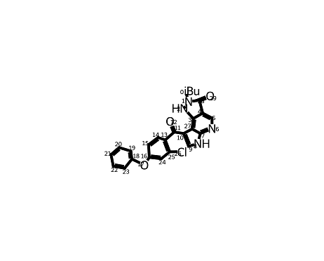 CCC(C)n1[nH]c2c(cnc3[nH]cc(C(=O)c4ccc(Oc5ccccc5)cc4Cl)c32)c1=O